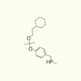 CPCc1ccc(OC(C)(C)OCCC2CCCCC2)cc1